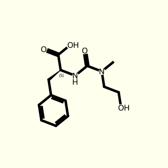 CN(CCO)C(=O)N[C@@H](Cc1ccccc1)C(=O)O